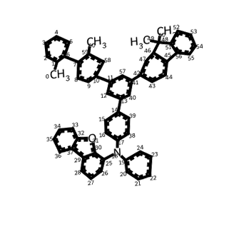 Cc1ccccc1-c1ccc(-c2cc(-c3ccc(N(c4ccccc4)c4cccc5c4oc4ccccc45)cc3)cc(-c3ccc4c(c3)C(C)(C)c3ccccc3-4)c2)cc1C